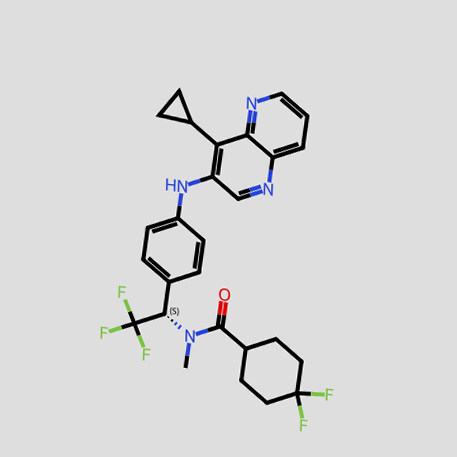 CN(C(=O)C1CCC(F)(F)CC1)[C@@H](c1ccc(Nc2cnc3cccnc3c2C2CC2)cc1)C(F)(F)F